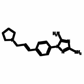 Nc1nc(N)n(-c2ccc(C=CCN3CCCC3)cc2)n1